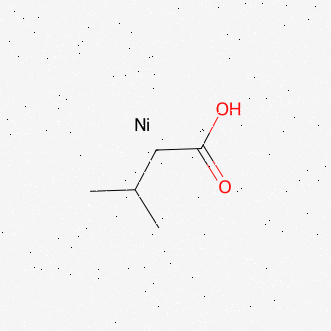 CC(C)CC(=O)O.[Ni]